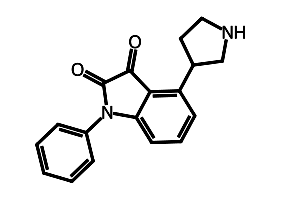 O=C1C(=O)N(c2ccccc2)c2cccc(C3CCNC3)c21